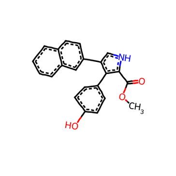 COC(=O)c1[nH]cc(-c2ccc3ccccc3c2)c1-c1ccc(O)cc1